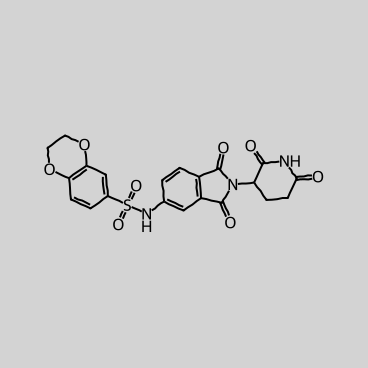 O=C1CCC(N2C(=O)c3ccc(NS(=O)(=O)c4ccc5c(c4)OCCO5)cc3C2=O)C(=O)N1